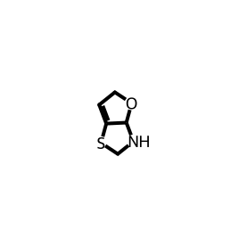 C1=C2SCNC2OC1